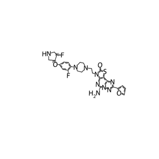 Nc1nc2c(sc(=O)n2CCN2CCN(c3ccc(O[C@@H]4CNC[C@H]4F)cc3F)CC2)c2nc(-c3ccco3)nn12